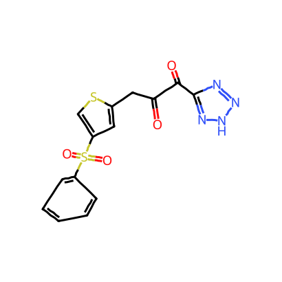 O=C(Cc1cc(S(=O)(=O)c2ccccc2)cs1)C(=O)c1nn[nH]n1